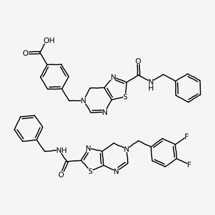 O=C(NCc1ccccc1)c1nc2c(s1)N=CN(Cc1ccc(F)c(F)c1)C2.O=C(O)c1ccc(CN2C=Nc3sc(C(=O)NCc4ccccc4)nc3C2)cc1